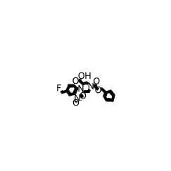 O=C(O)C1CN(C(=O)OCc2ccccc2)CCN1c1ccc(CF)cc1[N+](=O)[O-]